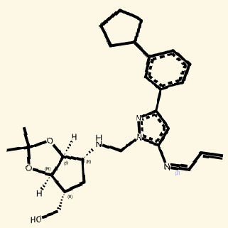 C=C/C=N\c1cc(-c2cccc(C3CCCC3)c2)nn1CN[C@@H]1C[C@H](CO)[C@H]2OC(C)(C)O[C@H]21